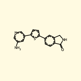 Nc1cncc(-c2ccc(-c3ccc4c(c3)CNC4=O)s2)c1